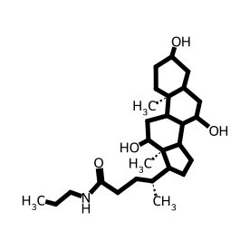 CCCNC(=O)CC[C@@H](C)C1CCC2C3C(O)CC4CC(O)CC[C@]4(C)C3CC(O)[C@@]21C